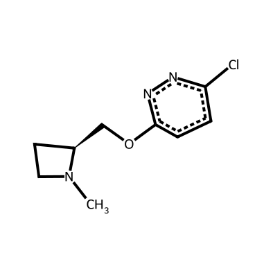 CN1CC[C@H]1COc1ccc(Cl)nn1